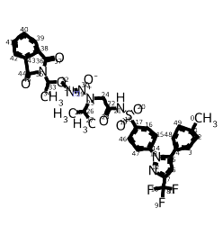 Cc1ccc(-c2cc(C(F)(F)F)nn2-c2ccc(S(=O)(=O)NC(=O)CN(C(C)C)/[N+]([O-])=N/OC(C)N3C(=O)c4ccccc4C3=O)cc2)cc1